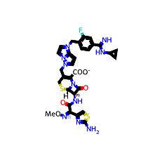 CO/N=C(\C(=O)N[C@@H]1C(=O)N2C(C(=O)[O-])=C(C[n+]3ccc4n(Cc5ccc(C(=N)NC6CC6)cc5F)ccn43)CS[C@H]12)c1csc(N)n1